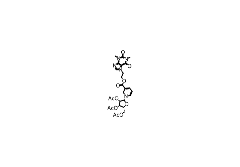 CC(=O)OC[C@H]1O[C@@H](N2C=CC=C(C(=O)OCCn3cnc4c3c(=O)n(C)c(=O)n4C)C2)[C@H](OC(C)=O)[C@@H]1OC(C)=O